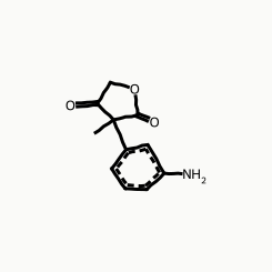 CC1(c2cccc(N)c2)C(=O)COC1=O